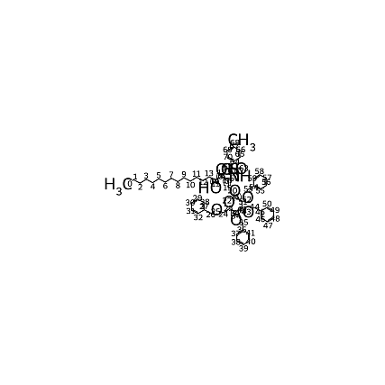 CCCCCCCCCCCCCC[C@@H](O)[C@@H](O)[C@H](CO[C@H]1OC(COCc2ccccc2)[C@H](OCc2ccccc2)[C@@H](OCc2ccccc2)C1OCc1ccccc1)NS(=O)(=O)c1ccc(C)cc1